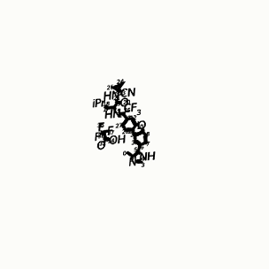 Cc1nc[nH]c1-c1ccc2oc3cc(C(NC(CC(C)C)C(=O)NC4(C#N)CC4)C(F)(F)F)ccc3c2c1.O=C(O)C(F)(F)F